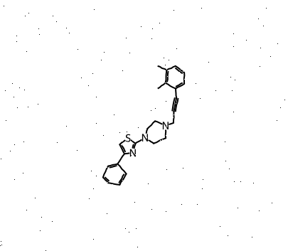 Cc1cccc(C#CCN2CCN(c3nc(-c4ccccc4)cs3)CC2)c1C